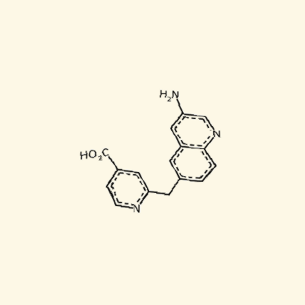 Nc1cnc2ccc(Cc3cc(C(=O)O)ccn3)cc2c1